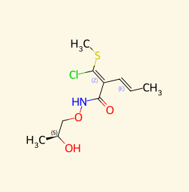 C/C=C/C(C(=O)NOC[C@H](C)O)=C(/Cl)SC